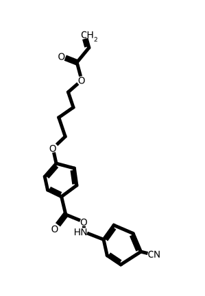 C=CC(=O)OCCCCOc1ccc(C(=O)ONc2ccc(C#N)cc2)cc1